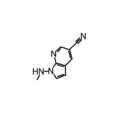 CNn1ccc2cc(C#N)cnc21